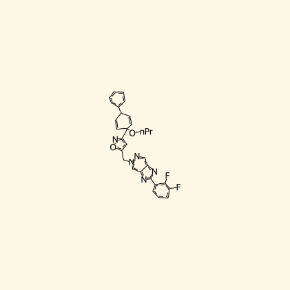 CCCOC1(c2cc(Cn3cc4nc(-c5cccc(F)c5F)nc-4cn3)on2)C=CC(c2ccccc2)C=C1